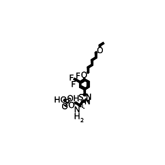 CCOCCCCCCOc1ccc(-c2nnc([C@@](C)(N)COP(=O)(O)O)s2)cc1C(F)(F)F